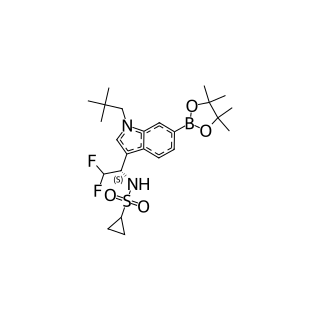 CC(C)(C)Cn1cc([C@H](NS(=O)(=O)C2CC2)C(F)F)c2ccc(B3OC(C)(C)C(C)(C)O3)cc21